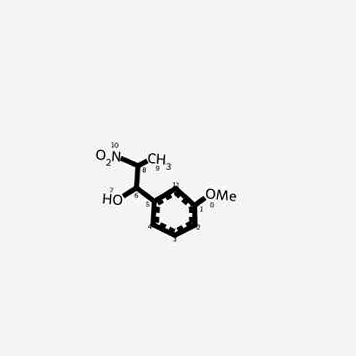 COc1cccc(C(O)C(C)[N+](=O)[O-])c1